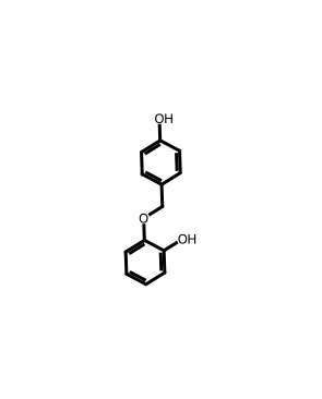 Oc1ccc(COc2ccccc2O)cc1